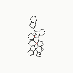 N#CC1C=CC2=C(C1)C1(C3=C2CCC=C3)c2ccccc2Oc2ccc(C3=C4C=CCCC4C(c4ccc5c(c4)CCC=C5)C4CCC=CC34)cc21